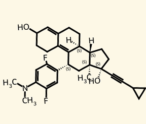 CN(C)c1cc(F)c([C@H]2C[C@@]3(C)[C@@H](CC[C@@]3(O)C#CC3CC3)[C@@H]3CCC4=CC(O)CCC4=C32)cc1F